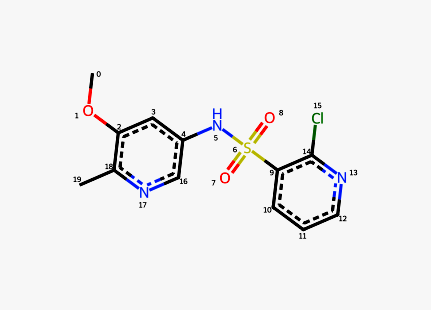 COc1cc(NS(=O)(=O)c2cccnc2Cl)cnc1C